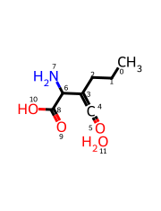 CCCC(=C=O)C(N)C(=O)O.O